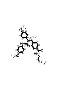 CCC[C@H](c1ccc(C(=O)NCCC(=O)O)cc1)[C@@H](C(=O)Nc1ccc(OC(F)(F)F)cc1)c1ccc(OC(F)(F)F)cc1